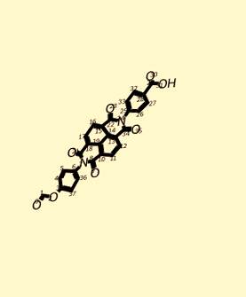 O=COc1ccc(N2C(=O)c3ccc4c5c(ccc(c35)C2=O)C(=O)N(c2ccc(C(=O)O)cc2)C4=O)cc1